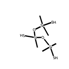 C[Si](C)(S)O[Si](C)(S)O[Si](C)(C)S